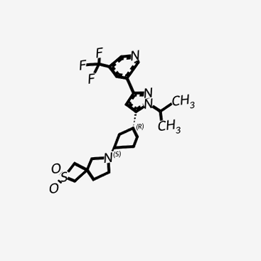 CC(C)n1nc(-c2cncc(C(F)(F)F)c2)cc1[C@@H]1CC[C@H](N2CCC3(C2)CS(=O)(=O)C3)C1